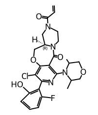 C=CC(=O)N1CCN2C(=O)c3c(N4C(C)COCC4C)nc(-c4c(O)cccc4F)c(Cl)c3OC[C@H]2C1